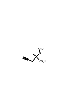 C#CCC(C)(OC=O)C(=O)O